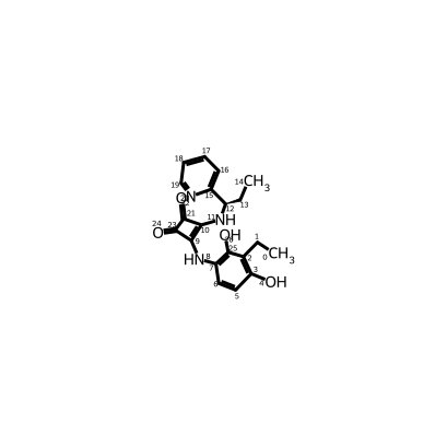 CCc1c(O)ccc(Nc2c(N[C@H](CC)c3ccccn3)c(=O)c2=O)c1O